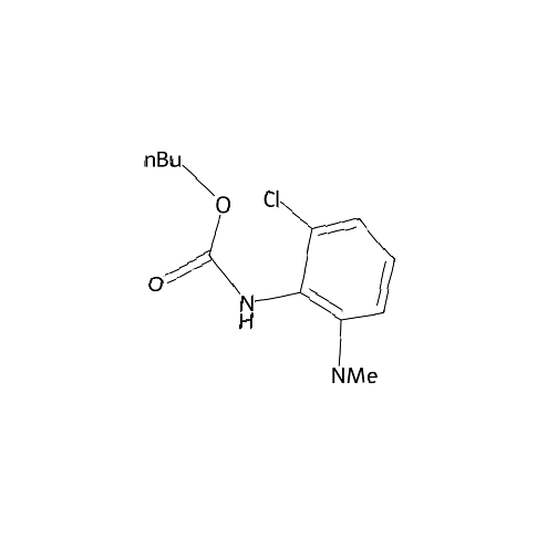 CCCCOC(=O)Nc1c(Cl)cccc1NC